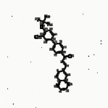 O=C(/C=C/c1ccc2nccnc2c1)c1ccc(-c2ccc(OC(F)(F)F)c(Cl)c2)cc1